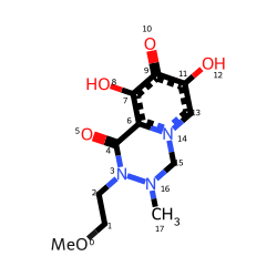 COCCN1C(=O)c2c(O)c(=O)c(O)cn2CN1C